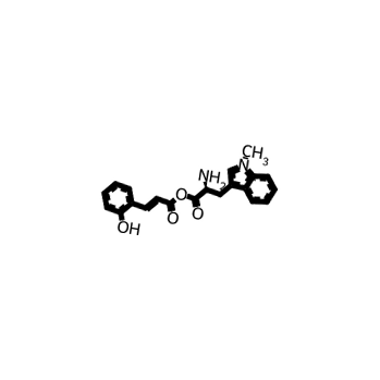 Cn1cc(C[C@H](N)C(=O)OC(=O)C=Cc2ccccc2O)c2ccccc21